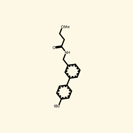 COCCC(=O)NCc1cccc(-c2ccc(C(C)(C)C)cc2)c1